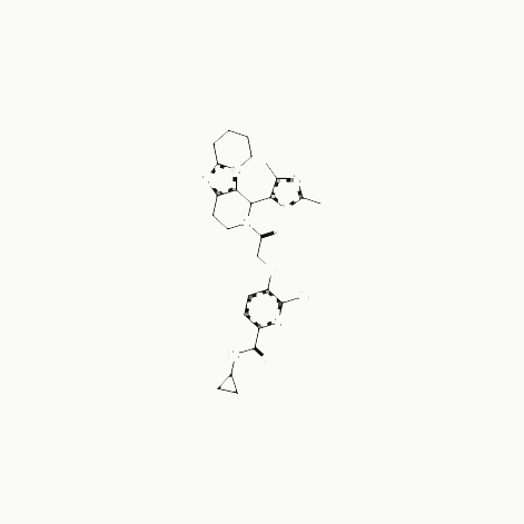 CCc1nc(C(=O)NC2CC2)ccc1OCC(=O)N1CCc2nc3n(c2C1c1sc(C)nc1C)CCCC3